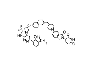 Cc1cccc(-c2cc3c(nn2)NC[C@@]2(C(F)F)C[C@@H](Oc4ccc5c(c4)CCN(CC4CCN(c6ccc7c(c6)C(=O)N([C@H]6CCC(=O)NC6=O)C7)CC4)C5)CN32)c1O